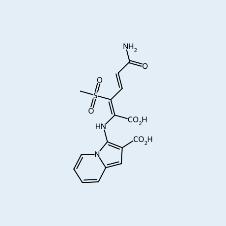 CS(=O)(=O)C(C=CC(N)=O)=C(Nc1c(C(=O)O)cc2ccccn12)C(=O)O